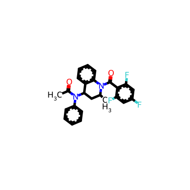 CC(=O)N(c1ccccc1)C1CC(C)N(C(=O)c2c(F)cc(F)cc2F)c2ccccc21